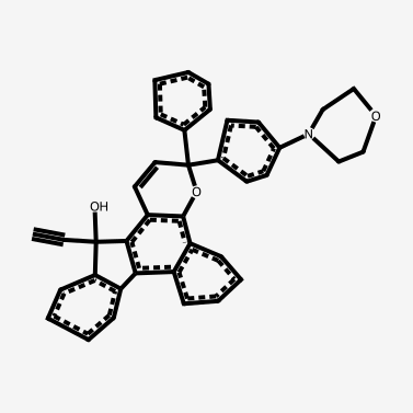 C#CC1(O)c2ccccc2-c2c1c1c(c3ccccc23)OC(c2ccccc2)(c2ccc(N3CCOCC3)cc2)C=C1